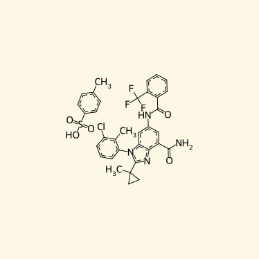 Cc1c(Cl)cccc1-n1c(C2(C)CC2)nc2c(C(N)=O)cc(NC(=O)c3ccccc3C(F)(F)F)cc21.Cc1ccc(S(=O)(=O)O)cc1